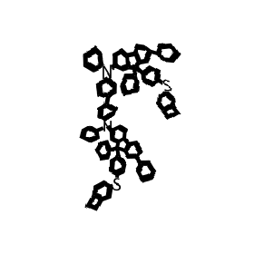 C1=CCC(c2ccc3c(c2)C(c2ccccc2)(c2ccc(SC4=CC5=C(CC4)CC5)cc2)c2cc(N(c4ccccc4)c4ccc(-c5ccc(N(C6=CC7C(C=C6)c6ccc(-c8ccccc8)cc6C7(c6ccccc6)c6ccc(Sc7ccc8c(c7)CC8)cc6)c6ccccc6)cc5)cc4)ccc2-3)C=C1